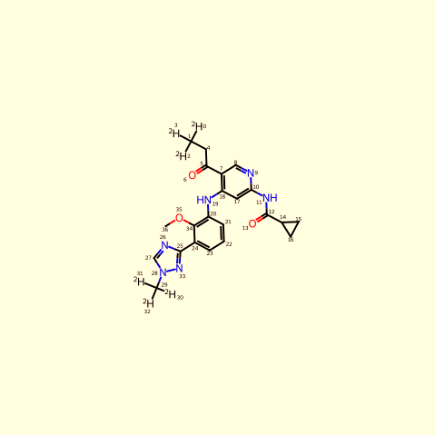 [2H]C([2H])([2H])CC(=O)c1cnc(NC(=O)C2CC2)cc1Nc1cccc(-c2ncn(C([2H])([2H])[2H])n2)c1OC